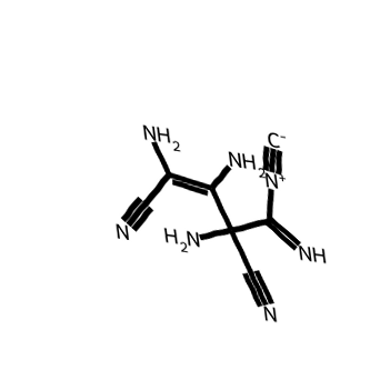 [C-]#[N+]C(=N)C(N)(C#N)/C(N)=C(/N)C#N